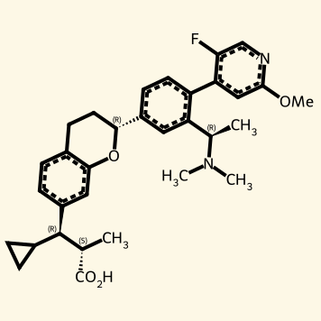 COc1cc(-c2ccc([C@H]3CCc4ccc([C@H](C5CC5)[C@H](C)C(=O)O)cc4O3)cc2[C@@H](C)N(C)C)c(F)cn1